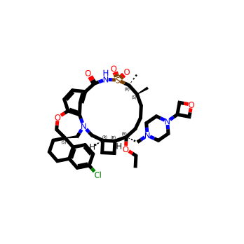 CCO[C@]1(CN2CCN(C3COC3)CC2)CCC[C@H](C)[C@@H](C)S(=O)(=O)NC(=O)c2ccc3c(c2)N(C[C@@H]2CC[C@H]21)C[C@@]1(CCCc2cc(Cl)ccc21)CO3